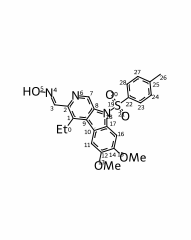 CCc1c(/C=N/O)ncc2c1c1cc(OC)c(OC)cc1n2S(=O)(=O)c1ccc(C)cc1